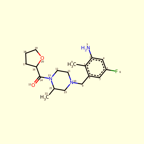 Cc1c(N)cc(F)cc1CN1CCN(C(=O)C2CCCO2)C(C)C1